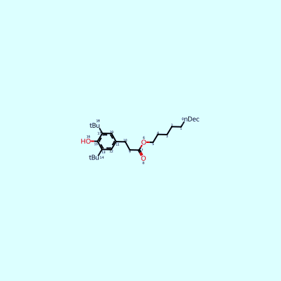 CCCCCCCCCCCCCCCOC(=O)CCc1cc(C(C)(C)C)c(O)c(C(C)(C)C)c1